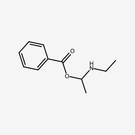 CCNC(C)OC(=O)c1ccccc1